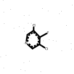 Fc1c(Cl)cncc1Cl